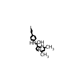 Cc1cc(C)n2ccc(C(O)Nc3ccc(C#CI)cc3)c2n1